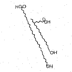 CCCC(CCCCCCCCCCCCCCCCCO)CCCCC(=O)O.O=C(O)CCCCCCCCCCCCCCCCCCCCCCCCCCCCCCCCCO